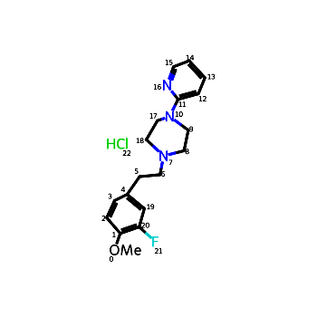 COc1ccc(CCN2CCN(c3ccccn3)CC2)cc1F.Cl